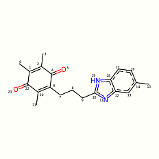 CC1=C(C)C(=O)C(CCCc2nc3cc(C)ccc3[nH]2)=C(C)C1=O